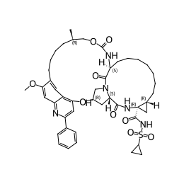 COc1cc2nc(-c3ccccc3)cc3c2cc1CCCC[C@@H](C)COC(=O)N[C@H]1CCCCCCC[C@@H]2C[C@@]2(C(=O)NS(=O)(=O)C2CC2)NC(=O)[C@@H]2C[C@H](CN2C1=O)O3